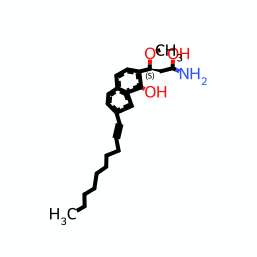 CCCCCCCCC#Cc1ccc2ccc([C@H](CC(N)O)OC)c(O)c2c1